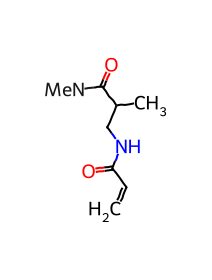 C=CC(=O)NCC(C)C(=O)NC